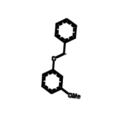 COc1cccc(O[CH]c2ccccc2)c1